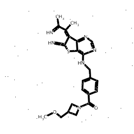 COCC1CN(C(=O)c2ccc(CNc3ncnc4c3SC(=N)/C4=C(/C)C(C)=N)cc2)C1